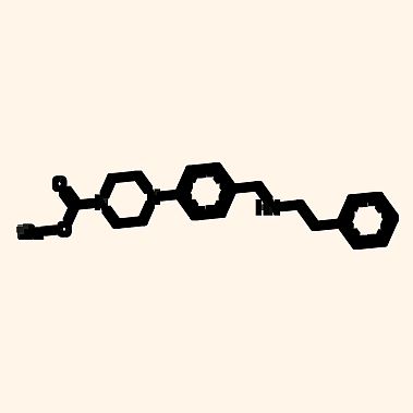 CC(C)(C)OC(=O)N1CCN(c2ccc(CNCCc3ccccc3)cc2)CC1